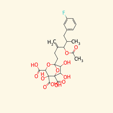 C=C(CCC12OC(C(=O)O)C(O)(C(=O)O)C(C(=O)O)(O1)C(O)C2O)C(OC(C)=O)C(C)Cc1cccc(F)c1